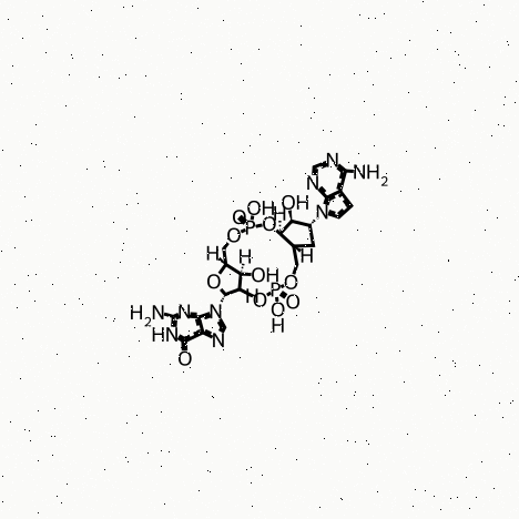 Nc1nc2c(ncn2[C@@H]2O[C@@H]3COP(=O)(O)O[C@@H]4[C@@H](COP(=O)(O)O[C@@H]2[C@@H]3O)C[C@@H](n2ccc3c(N)ncnc32)[C@@H]4O)c(=O)[nH]1